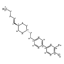 CCCC=C[C@H]1CC[C@H](CCc2ccc(-c3ccc(Cl)c(F)c3)cc2)CC1